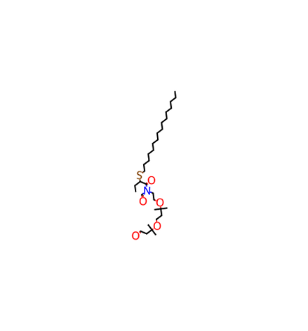 CCCCCCCCCCCCCCCCSC(CC)C(=O)N(C=O)CCOC(C)(C)CCOC(C)(C)CC=O